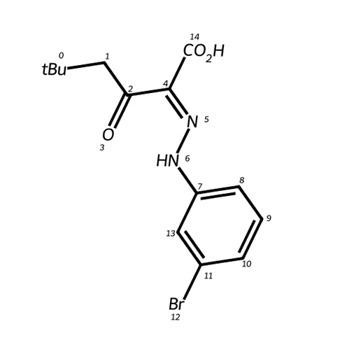 CC(C)(C)CC(=O)C(=NNc1cccc(Br)c1)C(=O)O